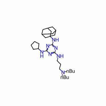 CCCCN(CCCC)CCCNc1nc(NC2CCCC2)nc(NC23CC4CC(CC(C4)C2)C3)n1